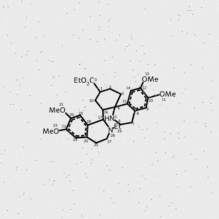 CCOC(=O)C1CCC2(NCCc3cc(OC)c(OC)cc32)C(C2c3cc(OC)c(OC)cc3CCN2CC)C1